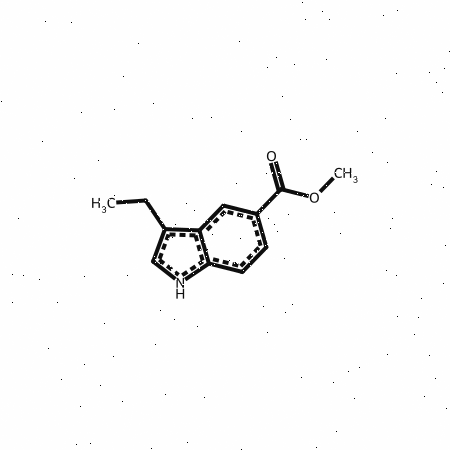 CCc1c[nH]c2ccc(C(=O)OC)cc12